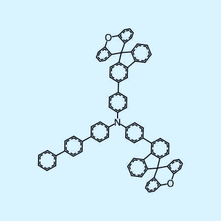 c1ccc(-c2ccc(-c3ccc(N(c4ccc(-c5ccc6c(c5)-c5ccccc5C65c6ccccc6Oc6ccccc65)cc4)c4ccc(-c5cccc6c5-c5ccccc5C65c6ccccc6Oc6ccccc65)cc4)cc3)cc2)cc1